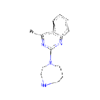 CC(C)c1nc(N2CCCNCC2)nc2ccccc12